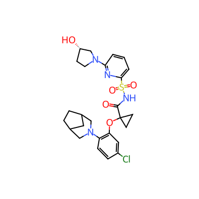 O=C(NS(=O)(=O)c1cccc(N2CC[C@H](O)C2)n1)C1(Oc2cc(Cl)ccc2N2CC3CCC(C3)C2)CC1